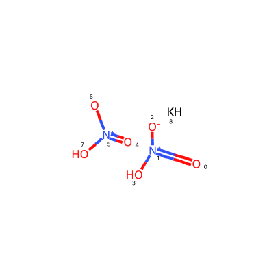 O=[N+]([O-])O.O=[N+]([O-])O.[KH]